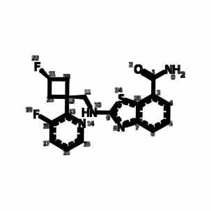 NC(=O)c1cccc2nc(NC[C@]3(c4ncccc4F)C[C@H](F)C3)sc12